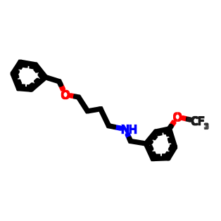 FC(F)(F)Oc1cccc(CNCCCCOCc2ccccc2)c1